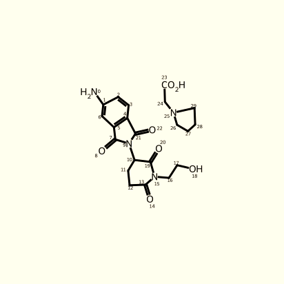 Nc1ccc2c(c1)C(=O)N(C1CCC(=O)N(CCO)C1=O)C2=O.O=C(O)CN1CCCC1